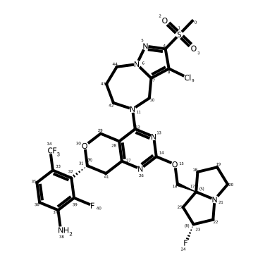 CS(=O)(=O)c1nn2c(c1Cl)CN(c1nc(OC[C@@]34CCCN3C[C@H](F)C4)nc3c1CO[C@@H](c1c(C(F)(F)F)ccc(N)c1F)C3)CCC2